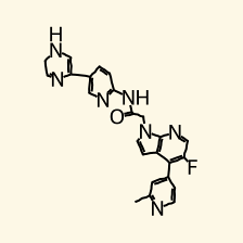 Cc1cc(-c2c(F)cnc3c2ccn3CC(=O)Nc2ccc(C3=CNCC=N3)cn2)ccn1